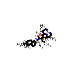 CCC(C)c1c(-c2nc3c(ccc4cc(C(C)(C)C)ccc43)s2)c(=O)oc2c3c4c(cc12)C(C)(C)CCN4CCC3(C)C